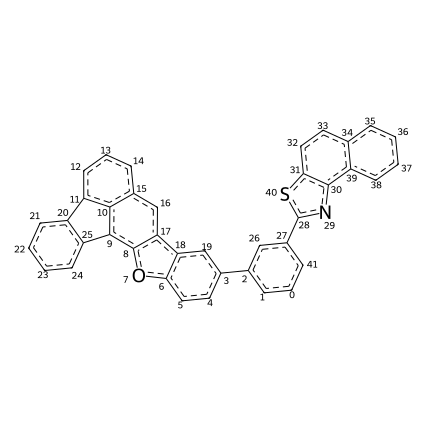 c1cc(-c2ccc3oc4c5c6c(cccc6cc4c3c2)-c2ccccc2-5)cc(-c2nc3c(ccc4ccccc43)s2)c1